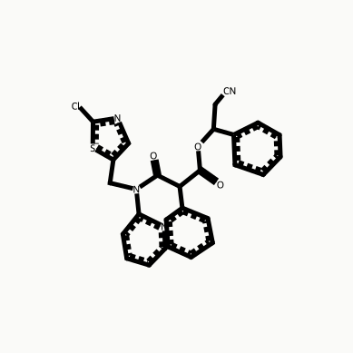 N#CCC(OC(=O)C(C(=O)N(Cc1cnc(Cl)s1)c1ccccn1)c1ccccc1)c1ccccc1